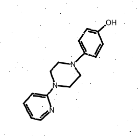 Oc1ccc(N2CCN(c3ccccn3)CC2)cc1